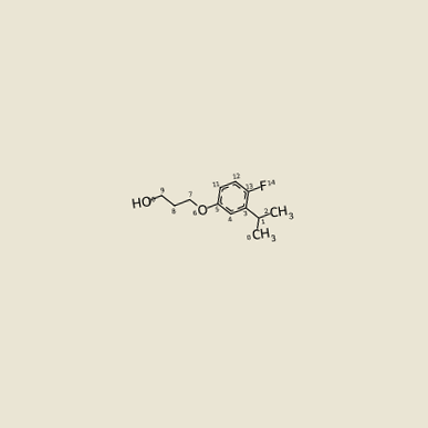 CC(C)c1cc(OCCCO)ccc1F